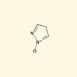 [O-][N+]1=CCC=N1